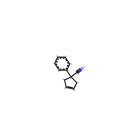 N#CC1(c2ccccc2)CC=CC1